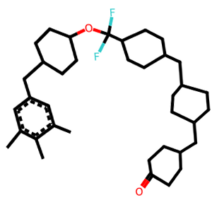 Cc1cc(CC2CCC(OC(F)(F)C3CCC(CC4CCC(CC5CCC(=O)CC5)CC4)CC3)CC2)cc(C)c1C